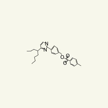 CCCCC(CCC)c1ccnc(-c2ccc(COS(=O)(=O)c3ccc(C)cc3)cc2)n1